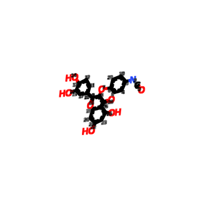 O=C=Nc1ccc(Oc2c(-c3ccc(O)c(O)c3)oc3cc(O)cc(O)c3c2=O)cc1